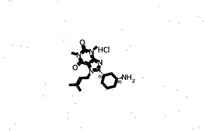 CC(C)=CCn1c([C@H]2CCC[C@@H](N)C2)nc2c1c(=O)n(C)c(=O)n2C.Cl